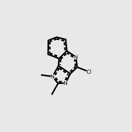 Cc1nc2c(Cl)nc3ccccc3c2n1C